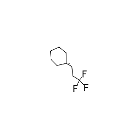 FC(F)(F)CC[C]1CCCCC1